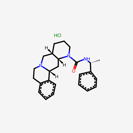 C[C@@H](NC(=O)N1CCC[C@H]2CN3CCc4ccccc4[C@H]3C[C@H]21)c1ccccc1.Cl